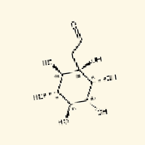 O=[C]C[C@]1(O)[C@H](O)[C@H](O)[C@@H](O)[C@H](O)[C@H]1O